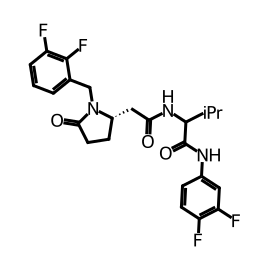 CC(C)C(NC(=O)C[C@@H]1CCC(=O)N1Cc1cccc(F)c1F)C(=O)Nc1ccc(F)c(F)c1